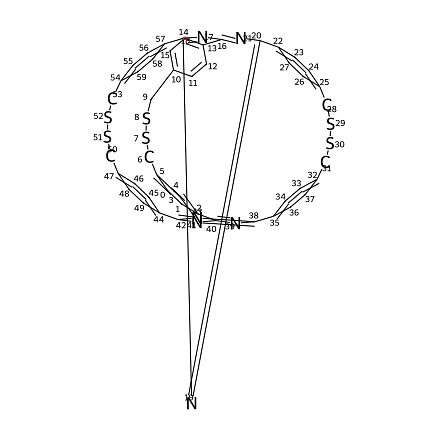 c1cc2ccc1CSSCc1ccc(cc1)-c1nc3nc(n1)-c1ccc(cc1)CSSCc1ccc(cc1)-c1nc-2nc(n1)-c1ccc(cc1)CSSCc1ccc-3cc1